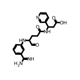 N=C(N)c1cccc(NC(C=O)CCC(=O)NC(CC(=O)O)c2cccnc2)c1